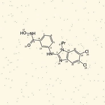 CC(C)n1c(Nc2cccc(C(=O)NO)c2)nc2cc(Cl)c(Cl)cc21